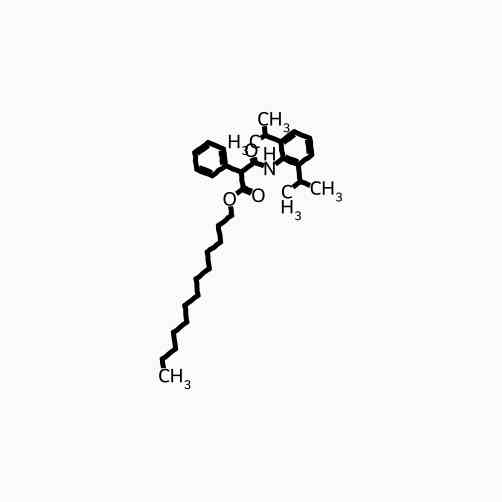 CCCCCCCCCCCCCOC(=O)C(C(=O)Nc1c(C(C)C)cccc1C(C)C)c1ccccc1